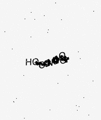 CC(C)(C)OC(=O)c1ccc(N2CCC(OCCO)CC2)cc1